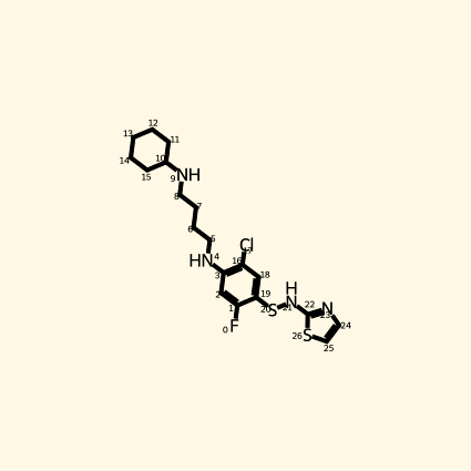 Fc1cc(NCCCCNC2CCCCC2)c(Cl)cc1SNc1nccs1